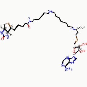 Nc1ncnc2c1ncn2[C@@H]1O[C@H](CSCCC(/N=C/CCCCC/C=N\CCCCCNC(=O)CCCC[C@@H]2SC[C@@H]3NC(=O)N[C@@H]32)C(=O)O)[C@@H](O)[C@H]1O